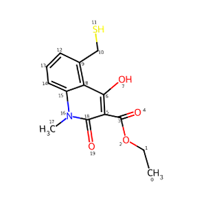 CCOC(=O)c1c(O)c2c(CS)cccc2n(C)c1=O